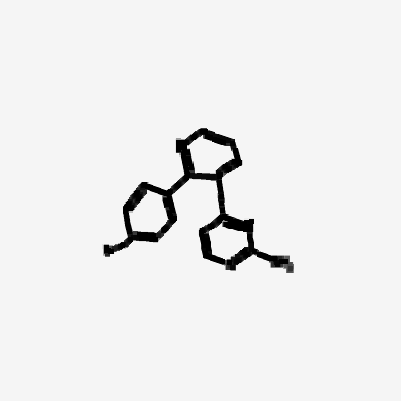 Nc1nccc(-c2cccnc2-c2ccc(F)cc2)n1